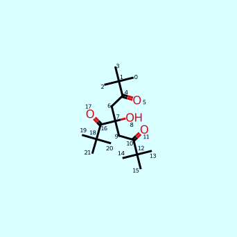 CC(C)(C)C(=O)CC(O)(CC(=O)C(C)(C)C)C(=O)C(C)(C)C